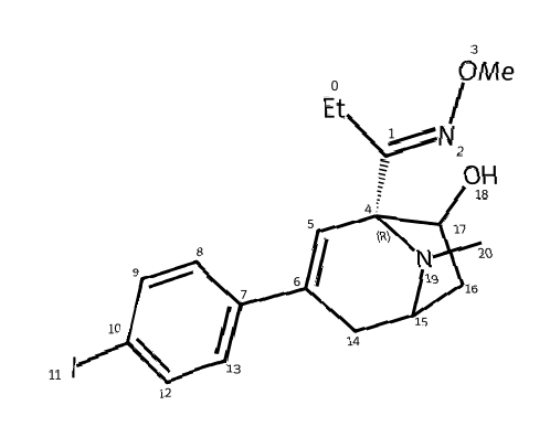 CCC(=NOC)[C@]12C=C(c3ccc(I)cc3)CC(CC1O)N2C